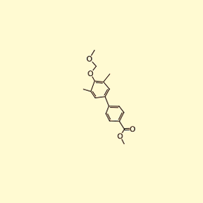 COCOc1c(C)cc(-c2ccc(C(=O)OC)cc2)cc1C